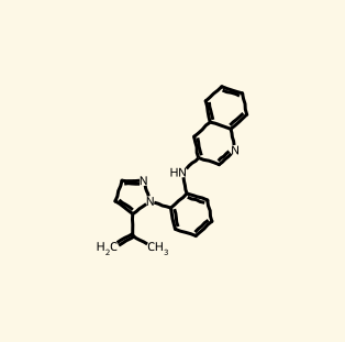 C=C(C)c1ccnn1-c1ccccc1Nc1cnc2ccccc2c1